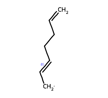 [CH2]/C=C/CCC=C